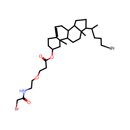 CC(C)CCCC(C)C1CCC2C3CC=C4CCC(OC(=O)CCOCCNC(=O)CBr)CC4(C)C3CCC12C